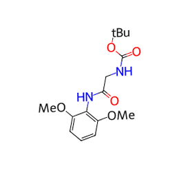 COc1cccc(OC)c1NC(=O)CNC(=O)OC(C)(C)C